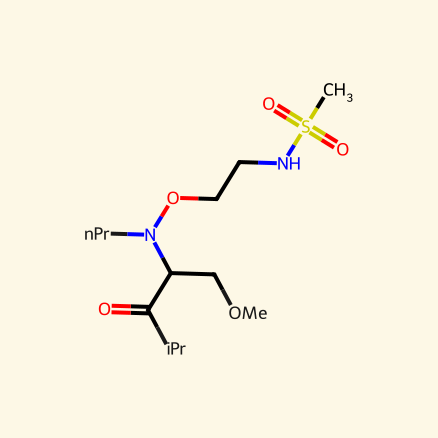 [CH2]CCN(OCCNS(C)(=O)=O)C(COC)C(=O)C(C)C